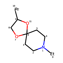 CCN1CCC2(CC1)OCC(C(C)C)O2